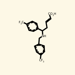 O=C(O)C=CCC(NCc1ccc(C(F)(F)F)cc1)c1ccc(C(F)(F)F)cc1